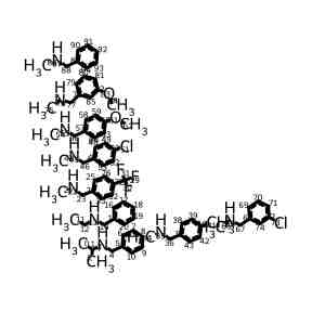 CC(C)NCc1ccccc1.CCNCc1ccccc1.CNCc1ccc(C(F)(F)F)cc1.CNCc1ccc(C)cc1.CNCc1ccc(Cl)cc1.CNCc1ccc(OC)cc1.CNCc1cccc(Cl)c1.CNCc1cccc(OC)c1.CNCc1ccccc1